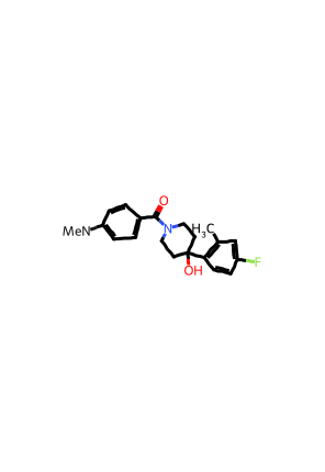 CNc1ccc(C(=O)N2CCC(O)(c3ccc(F)cc3C)CC2)cc1